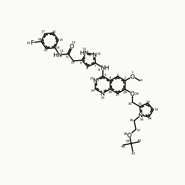 COc1cc2c(Nc3cc(CC(=O)Nc4cccc(F)c4)[nH]n3)ncnc2cc1OCc1cccn1CCOC(C)(C)C